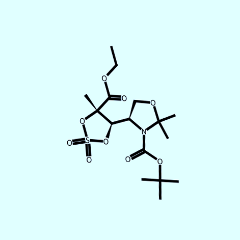 CCOC(=O)[C@@]1(C)OS(=O)(=O)O[C@@H]1[C@H]1COC(C)(C)N1C(=O)OC(C)(C)C